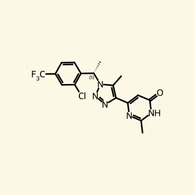 Cc1nc(-c2nnn([C@@H](C)c3ccc(C(F)(F)F)cc3Cl)c2C)cc(=O)[nH]1